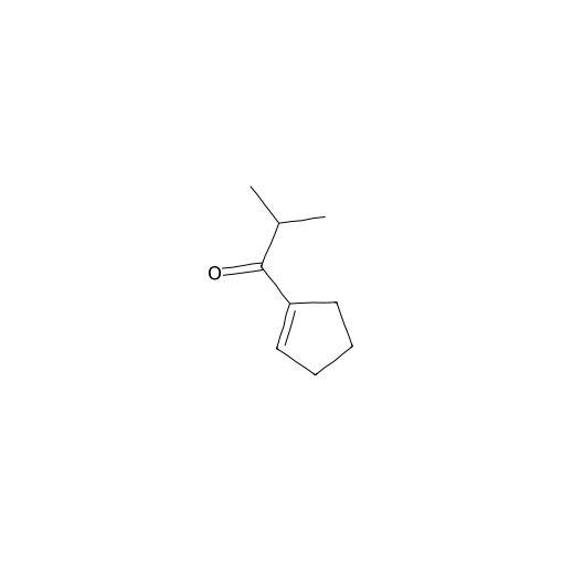 CC(C)C(=O)C1=CCCC1